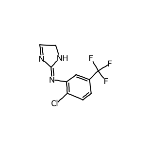 FC(F)(F)c1ccc(Cl)c(N=C2N=CCN2)c1